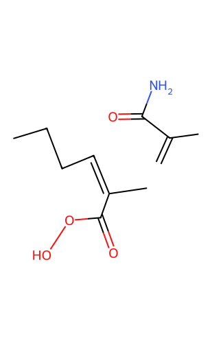 C=C(C)C(N)=O.CCCC=C(C)C(=O)OO